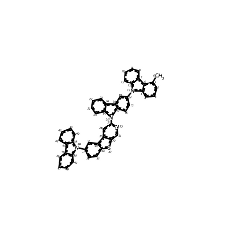 Cc1cccc2c1c1ccccc1n2-c1ccc2c(c1)c1ccccc1n2-c1cc2c(cn1)sc1ccc(-n3c4ccccc4c4ccccc43)cc12